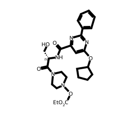 CCOC(=O)ON1CCN(C(=O)[C@H](CO)NC(=O)c2cc(OC3CCCC3)nc(-c3ccccc3)n2)CC1